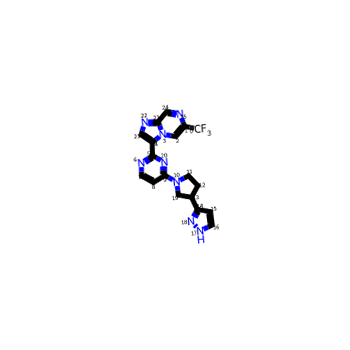 FC(F)(F)c1cn2c(-c3nccc(N4CCC(c5cc[nH]n5)C4)n3)cnc2cn1